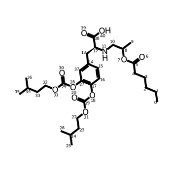 CCCCCC(=O)OC(C)CN[C@@H](Cc1ccc(OC(=O)OCCC(C)C)c(OC(=O)OCCC(C)C)c1)C(=O)O